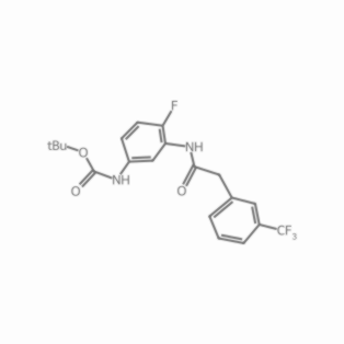 CC(C)(C)OC(=O)Nc1ccc(F)c(NC(=O)Cc2cccc(C(F)(F)F)c2)c1